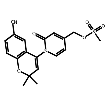 CC1(C)C=C(n2ccc(COS(C)(=O)=O)cc2=O)c2cc(C#N)ccc2O1